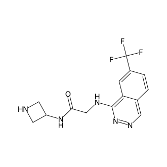 O=C(CNc1nncc2ccc(C(F)(F)F)cc12)NC1CNC1